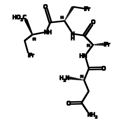 CC(C)C[C@H](NC(=O)[C@H](CC(C)C)NC(=O)[C@@H](NC(=O)[C@@H](N)CC(N)=O)C(C)C)C(=O)O